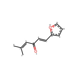 CC(C)=CC(=O)C=Cc1ccco1